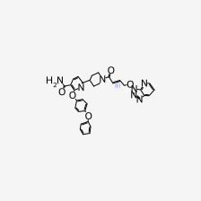 NC(=O)c1ccc(C2CCN(C(=O)/C=C/COn3nnc4cccnc43)CC2)nc1Oc1ccc(Oc2ccccc2)cc1